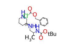 CC(CN[C@H]1CCCNC1)NC(=O)OC(C)(C)C.O=C(Cl)OCc1ccccc1